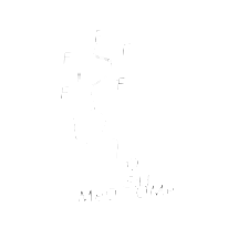 CO[SiH](OC)OCCC1CCCC(c2c(F)c(F)c(F)c(F)c2F)C1